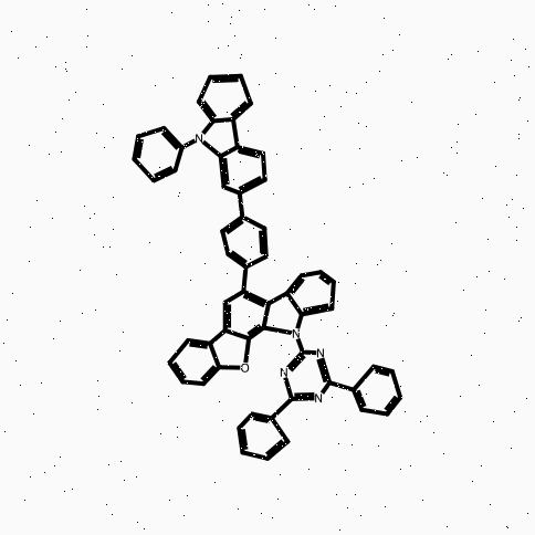 c1ccc(-c2nc(-c3ccccc3)nc(-n3c4ccccc4c4c(-c5ccc(-c6ccc7c8ccccc8n(-c8ccccc8)c7c6)cc5)cc5c6ccccc6oc5c43)n2)cc1